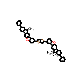 C=C1c2cc(-c3ccccc3)ccc2-c2cc3oc4ccc(-c5cc6sc(-c7ccc8oc9cc%10c(cc9c8c7)C(C)(C)c7cc(-c8ccccc8)ccc7-%10)cc6s5)cc4c3cc21